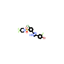 O=S(=O)(c1cc(-c2nc(-c3ccc(Br)c(F)c3)c[nH]2)ccc1Cl)N1CCC(F)(F)CC1